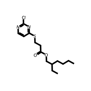 CCCCC(CC)COC(=O)CCSc1ccnc(Cl)n1